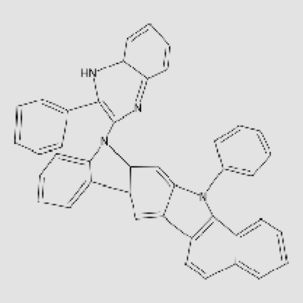 C1=CC2=NC(n3c4ccccc4c4cc5c6ccc7ccccc7c6n(-c6ccccc6)c5cc43)=C(c3ccccc3)NC2C=C1